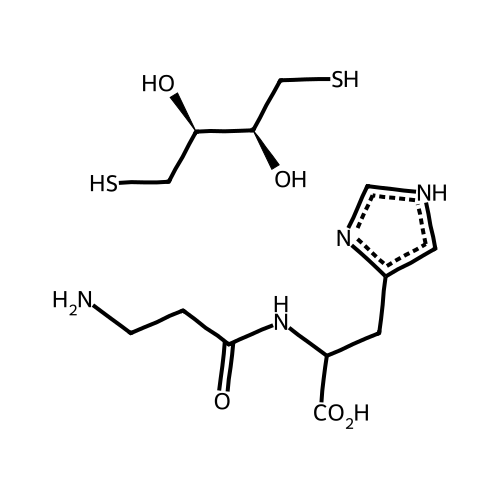 NCCC(=O)NC(Cc1c[nH]cn1)C(=O)O.O[C@H](CS)[C@H](O)CS